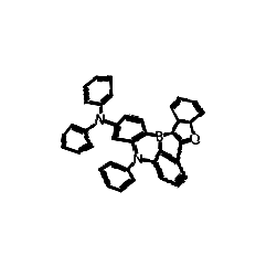 C1=CC2OC3=C(B4c5ccc(N(c6ccccc6)c6ccccc6)cc5N(c5ccccc5)c5cccc3c54)C2C=C1